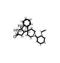 CC[C@H]1CCCCC1N1CCC2(CC1)c1ccccc1[C@H]1NC(=O)CC12